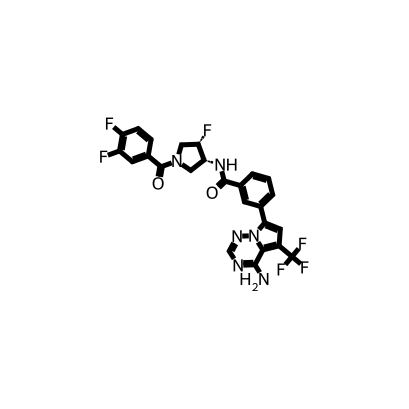 Nc1ncnn2c(-c3cccc(C(=O)N[C@@H]4CN(C(=O)c5ccc(F)c(F)c5)C[C@@H]4F)c3)cc(C(F)(F)F)c12